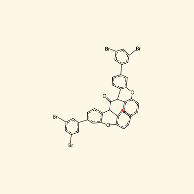 O=C(C1c2ccccc2Oc2cc(-c3cc(Br)cc(Br)c3)ccc21)C1c2ccccc2Oc2cc(-c3cc(Br)cc(Br)c3)ccc21